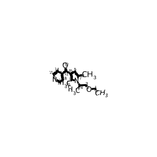 CCOCC(C)n1c(C)cc(C(=O)c2ccncc2)c1C